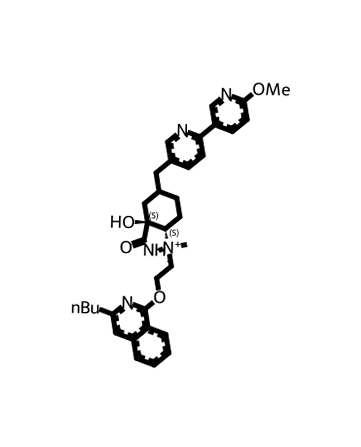 CCCCc1cc2ccccc2c(OCC[N+](C)(C)[C@H]2CCC(Cc3ccc(-c4ccc(OC)nc4)nc3)C[C@@]2(O)C(N)=O)n1